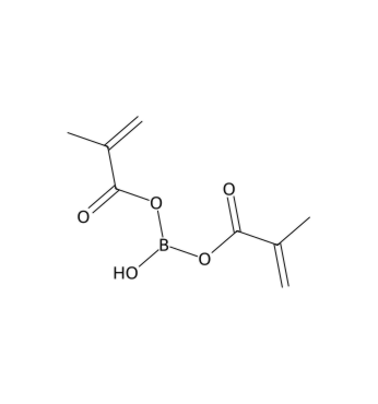 C=C(C)C(=O)OB(O)OC(=O)C(=C)C